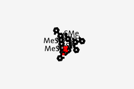 CSN1c2cc3c(cc2B2c4sc5ccccc5c4Oc4cc(-c5ccccc5C)cc1c42)B1c2cc4c(cc2N(SC)c2cc(-c5ccccc5C)cc(c21)N3SC)Nc1cc(-c2ccccc2C)cc2c1B4c1sc3ccccc3c1N2c1ccccc1